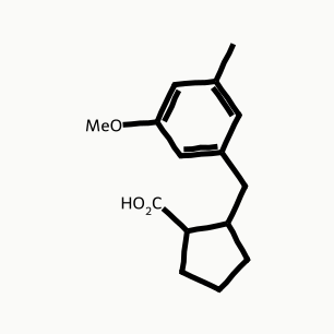 COc1cc(C)cc(CC2CCCC2C(=O)O)c1